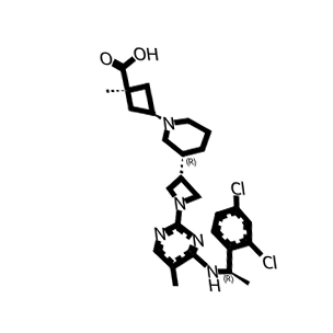 Cc1cnc(N2CC([C@H]3CCCN([C@H]4C[C@](C)(C(=O)O)C4)C3)C2)nc1N[C@H](C)c1ccc(Cl)cc1Cl